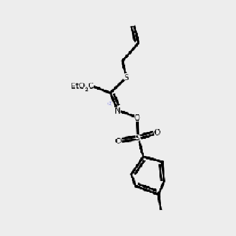 C=CCS/C(=N\OS(=O)(=O)c1ccc(C)cc1)C(=O)OCC